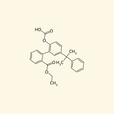 CCOC(=O)c1ccccc1-c1cc(C(C)(C)c2ccccc2)ccc1OC(=O)O